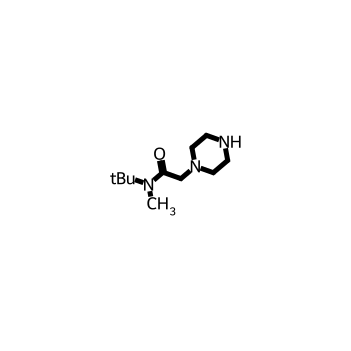 CN(C(=O)CN1CCNCC1)C(C)(C)C